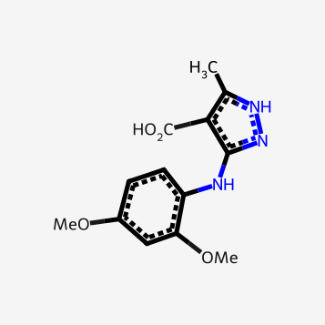 COc1ccc(Nc2n[nH]c(C)c2C(=O)O)c(OC)c1